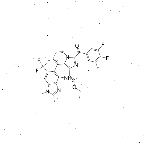 CCO/C=C/c1nc(C(=O)c2cc(F)c(F)c(F)c2)n2cccc(-c3c(C(F)(F)F)cc4c(nc(C)n4C)c3N)c12